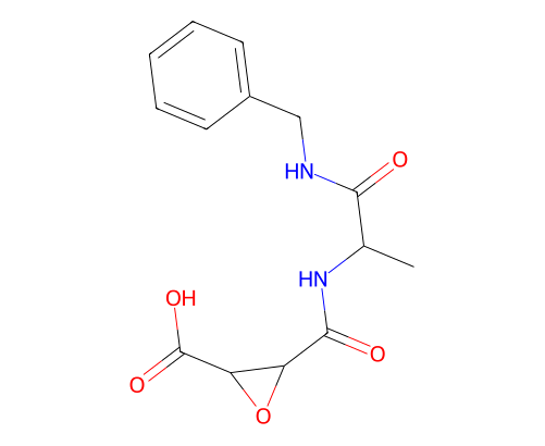 CC(NC(=O)C1OC1C(=O)O)C(=O)NCc1ccccc1